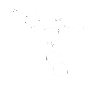 CCOC(=O)c1nnn(Cc2ccc(OC)cc2)c1CNc1ccc2cc(Cl)ccc2c1